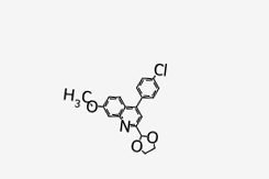 COc1ccc2c(-c3ccc(Cl)cc3)cc(C3OCCO3)nc2c1